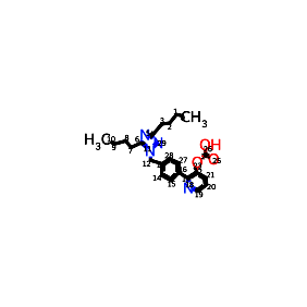 CCCCc1nc(CCCC)n(Cc2ccc(-c3ncccc3OC(=O)O)cc2)n1